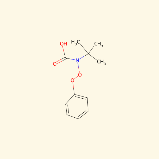 CC(C)(C)N(OOc1ccccc1)C(=O)O